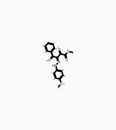 COC(=O)C(=O)/C(=N/Nc1ccc(OC)cc1)C(=O)c1ccccc1